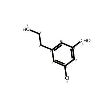 O=Cc1cc(Cl)cc(CCO)c1